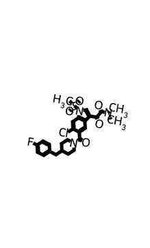 CN(C)C(=O)C(=O)c1cn(S(C)(=O)=O)c2cc(Cl)c(C(=O)N3CCC(Cc4ccc(F)cc4)CC3)cc12